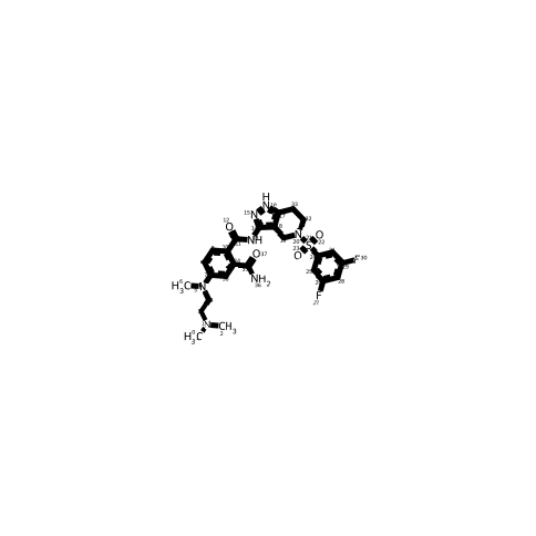 CN(C)CCN(C)c1ccc(C(=O)Nc2n[nH]c3c2CN(S(=O)(=O)c2cc(F)cc(F)c2)CC3)c(C(N)=O)c1